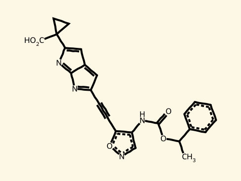 CC(OC(=O)Nc1cnoc1C#CC1=NC2=NC(C3(C(=O)O)CC3)=CC2=C1)c1ccccc1